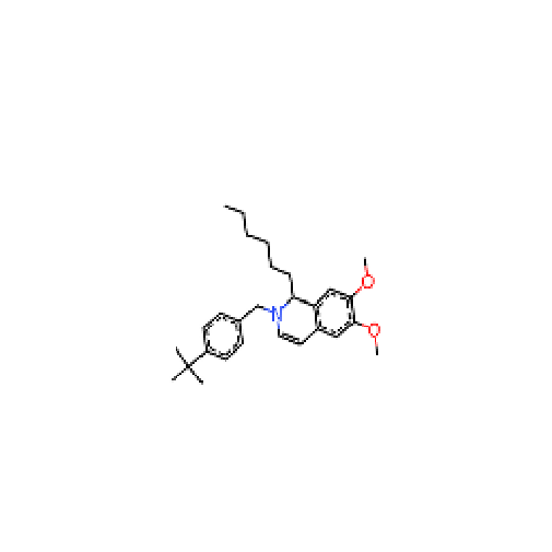 CCCCCCC1c2cc(OC)c(OC)cc2C=CN1Cc1ccc(C(C)(C)C)cc1